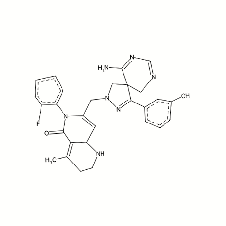 CC1=C2C(=O)N(c3ccccc3F)C(CN3CC4(CN=CN=C4N)C(c4cccc(O)c4)=N3)=CC2NCC1